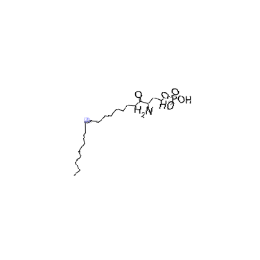 CCCCCCCC/C=C\CCCCCCCC(=O)C(N)CCOP(=O)(O)O